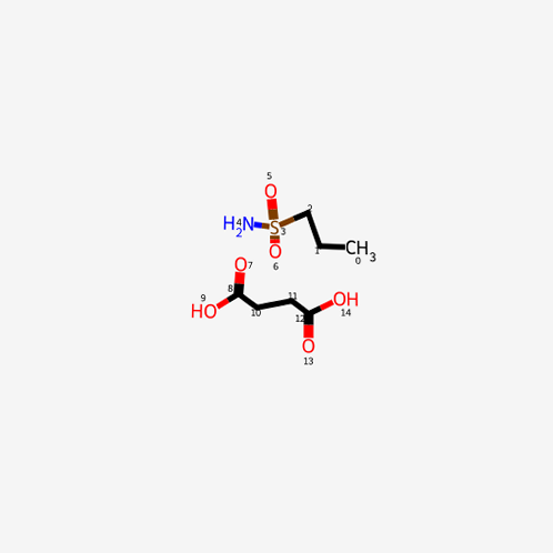 CCCS(N)(=O)=O.O=C(O)CCC(=O)O